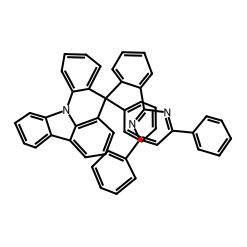 c1ccc(-c2cc(-c3ccccc3)nc(-c3ccccc3C3(c4ccccc4)c4ccccc4-n4c5ccccc5c5cccc3c54)n2)cc1